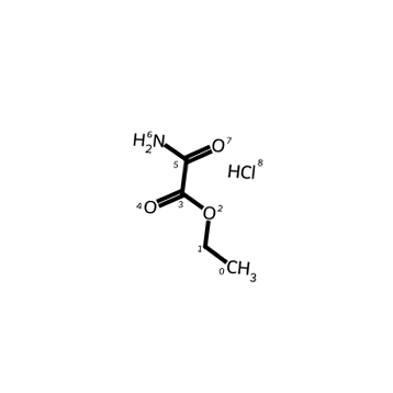 CCOC(=O)C(N)=O.Cl